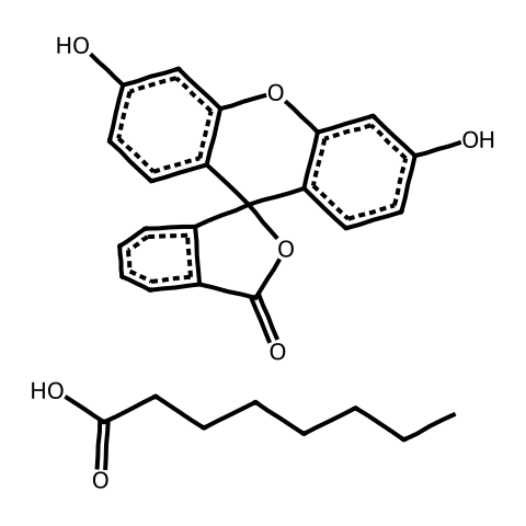 CCCCCCCC(=O)O.O=C1OC2(c3ccc(O)cc3Oc3cc(O)ccc32)c2ccccc21